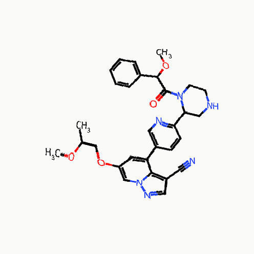 COC(C)COc1cc(-c2ccc(C3CNCCN3C(=O)C(OC)c3ccccc3)nc2)c2c(C#N)cnn2c1